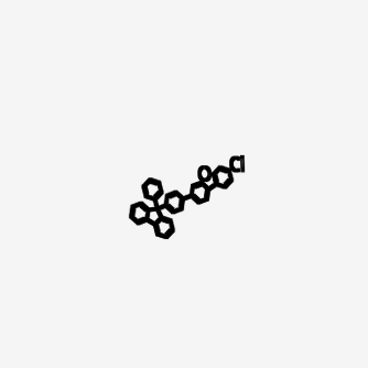 Clc1ccc2c(c1)oc1cc(-c3ccc(C4(c5ccccc5)c5ccccc5-c5ccccc54)cc3)ccc12